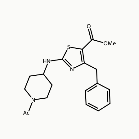 COC(=O)c1sc(NC2CCN(C(C)=O)CC2)nc1Cc1ccccc1